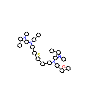 c1ccc(-c2ccc(N(c3ccc(-c4ccc5c(c4)sc4cc(-c6cccc(-c7ccc(N(c8ccc(-c9cccc%10c9oc9ccccc9%10)cc8)c8ccc9c%10c(-c%11ccccc%11)cccc%10n(-c%10ccccc%10)c9c8)cc7)c6)ccc45)cc3)c3ccc4c5c(-c6ccccc6)cccc5n(-c5ccccc5)c4c3)cc2)cc1